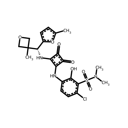 Cc1ccc([C@H](Nc2c(Nc3ccc(Cl)c(S(=O)(=O)N(C)C)c3O)c(=O)c2=O)C2(C)COC2)o1